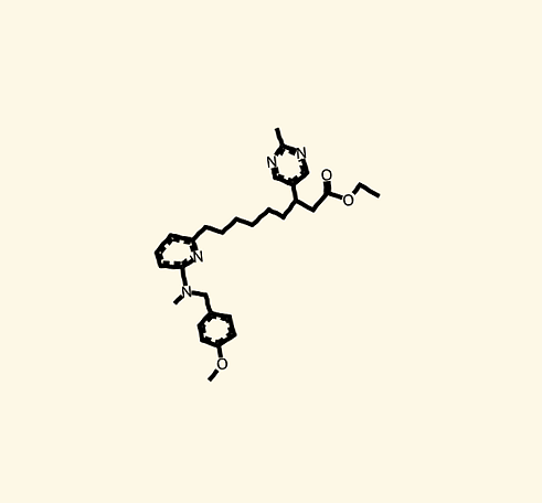 CCOC(=O)CC(CCCCCCc1cccc(N(C)Cc2ccc(OC)cc2)n1)c1cnc(C)nc1